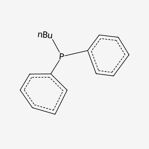 [CH2]CCCP(c1ccccc1)c1ccccc1